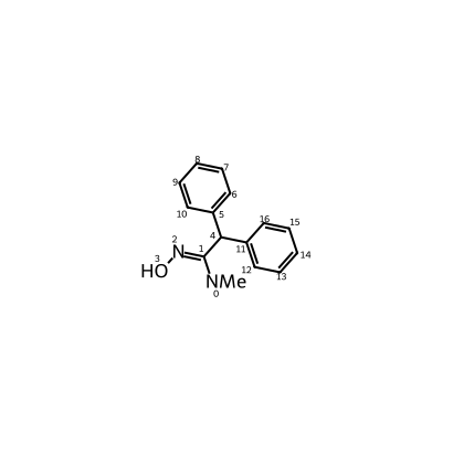 CNC(=NO)C(c1ccccc1)c1ccccc1